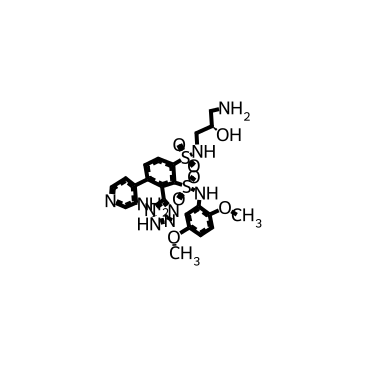 COc1ccc(OC)c(NS(=O)(=O)c2c(S(=O)(=O)NC[C@@H](O)CN)ccc(-c3ccncc3N)c2-c2nn[nH]n2)c1